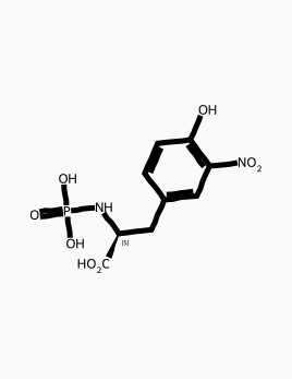 O=C(O)[C@H](Cc1ccc(O)c([N+](=O)[O-])c1)NP(=O)(O)O